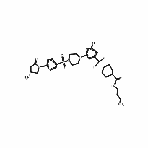 NCCCNC(=O)[C@H]1CC[C@H](C(F)(F)c2cc(Cl)nc(N3CCN(S(=O)(=O)c4ccc(N5C[C@H](N)CC5=O)nc4)CC3)c2)CC1